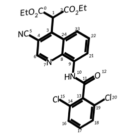 CCOC(=O)C(C(=O)OCC)c1c(C#N)cnc2c(NC(=O)c3c(Cl)cccc3Cl)cccc12